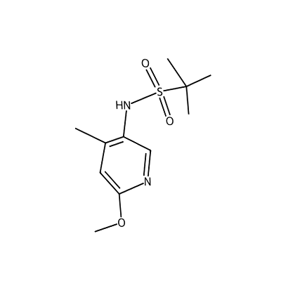 COc1cc(C)c(NS(=O)(=O)C(C)(C)C)cn1